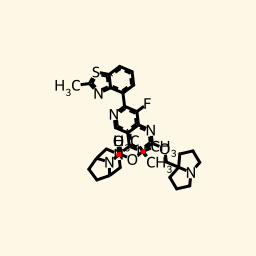 Cc1nc2c(-c3ncc4c(N5CC6CCC(C5)N6C(=O)OC(C)(C)C)nc(OCC56CCCN5CCC6)nc4c3F)cccc2s1